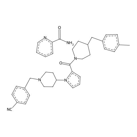 Cc1ccc(CC2CCN(C(=O)c3cccn3C3CCN(Cc4ccc(C#N)cc4)CC3)CC2)cc1.NC(=O)c1ccccn1